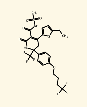 CCc1ccc(C2=C(C(=O)NS(C)(=O)=O)C(=O)NC(c3ccc(OCCCC(F)(F)F)cc3)(C(F)(F)F)C2)s1